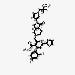 COC(=O)C1=C(CN2CCN3C(=O)N(c4ccn(CC(C)(C)C(=O)O)n4)C[C@@H]3C2)NC(c2nccs2)=N[C@H]1c1ccc(F)cc1Cl